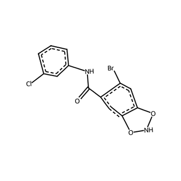 O=C(Nc1cccc(Cl)c1)c1cc2c(cc1Br)ONO2